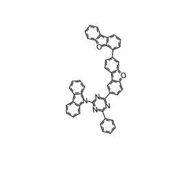 c1ccc(-c2nc(-c3ccc4oc5cc(-c6cccc7c6oc6ccccc67)ccc5c4c3)nc(-n3c4ccccc4c4ccccc43)n2)cc1